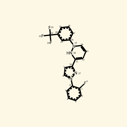 Fc1ccccc1-n1ccc(C2=CC=CN(c3cccc(C(F)(F)F)c3)N2)n1